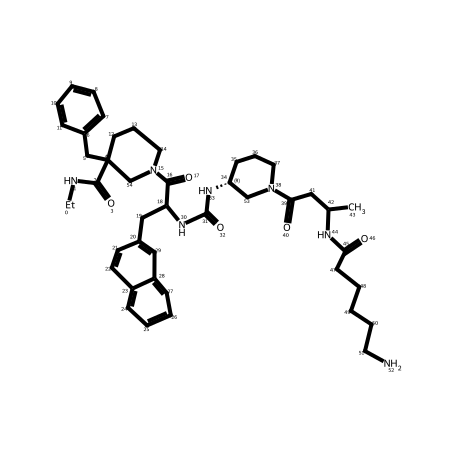 CCNC(=O)C1(Cc2ccccc2)CCCN(C(=O)C(Cc2ccc3ccccc3c2)NC(=O)N[C@@H]2CCCN(C(=O)CC(C)NC(=O)CCCCCN)C2)C1